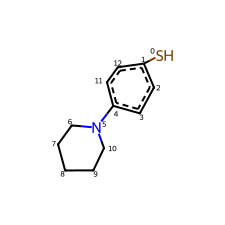 Sc1ccc(N2CCCCC2)cc1